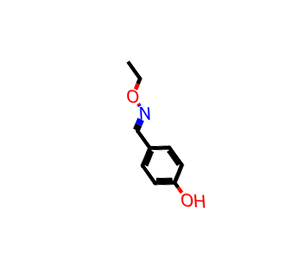 CCON=Cc1ccc(O)cc1